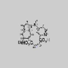 CN(c1ccncc1)n1ccc2cc(Br)ccc21.O=C(O)/C=C\C(=O)O